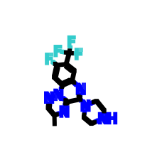 CC1C=NN2C(=N1)C(N1CCNCC1)=Nc1cc(C(F)(F)F)c(F)cc12